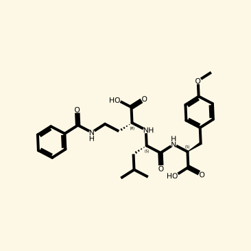 COc1ccc(C[C@H](NC(=O)[C@H](CC(C)C)N[C@H](CCNC(=O)c2ccccc2)C(=O)O)C(=O)O)cc1